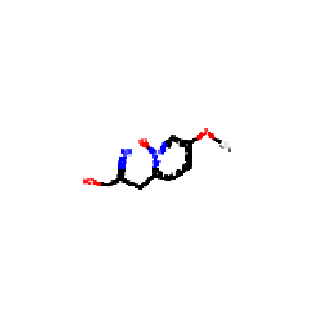 COc1ccc(CC(=N)CO)[n+]([O-])c1